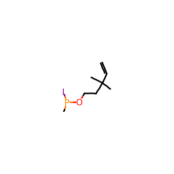 C=CC(C)(C)CCOP(C)I